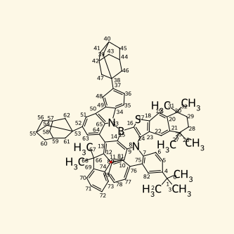 CC(C)(C)c1ccc(N2c3cc4c(c5c3B(c3sc6cc7c(cc6c32)C(C)(C)CCC7(C)C)n2c3ccc(C67CC8CC(CC(C8)C6)C7)cc3c3cc(C67CC8CC(CC(C8)C6)C7)cc-5c32)C(C)(C)c2ccccc2-4)c(-c2ccccc2)c1